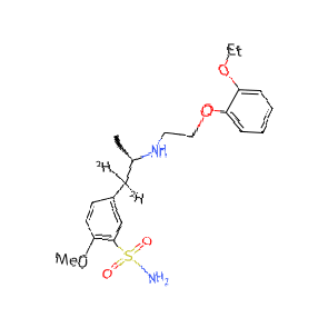 [2H]C([2H])(c1ccc(OC)c(S(N)(=O)=O)c1)[C@@H](C)NCCOc1ccccc1OCC